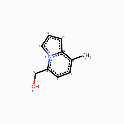 [CH2]c1ccc(CO)n2cccc12